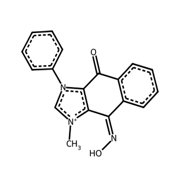 C[n+]1cn(-c2ccccc2)c2c1/C(=N\O)c1ccccc1C2=O